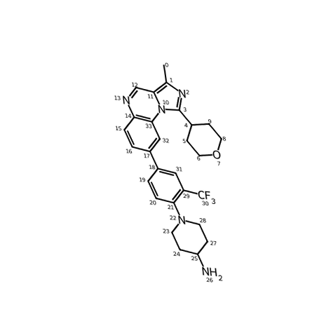 Cc1nc(C2CCOCC2)n2c1cnc1ccc(-c3ccc(N4CCC(N)CC4)c(C(F)(F)F)c3)cc12